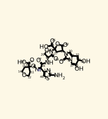 Nc1nc(/C(=N/OC2(C(=O)O)CCOCC2)C(=O)N[C@H]2CON(C3(C(=O)O)CC(n4cc5cc(O)c(O)cn5c4=O)C(=O)O3)C2=O)cs1